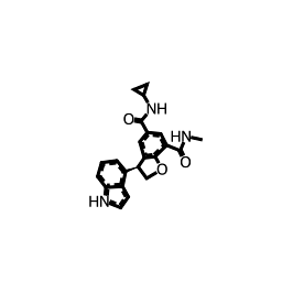 CNC(=O)c1cc(C(=O)NC2CC2)cc2c1OC[C@H]2c1cccc2[nH]ccc12